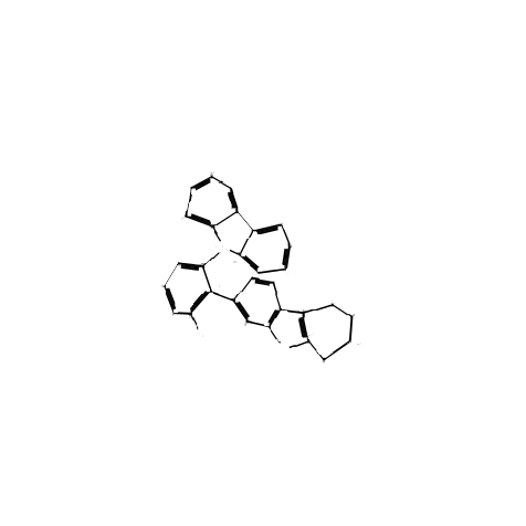 Nc1cccc(-n2c3ccccc3c3ccccc32)c1-c1ccc2c3c(sc2c1)CCCC3